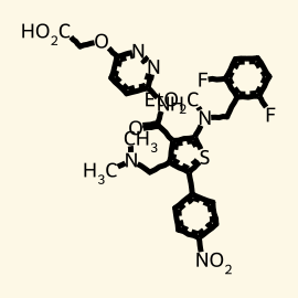 CCOC(=O)N(Cc1c(F)cccc1F)c1sc(-c2ccc([N+](=O)[O-])cc2)c(CN(C)C)c1C(=O)Nc1ccc(OCC(=O)O)nn1